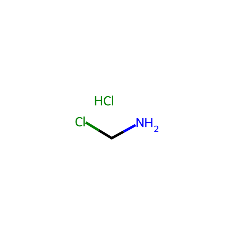 Cl.NCCl